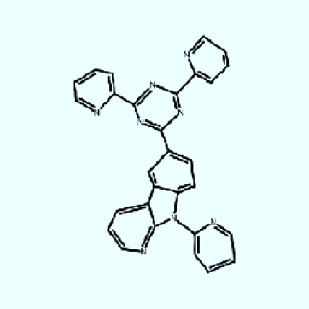 c1ccc(-c2nc(-c3ccc4c(c3)c3cccnc3n4-c3ccccn3)nc(-c3ccccn3)n2)nc1